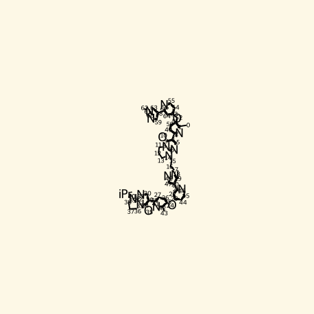 Cc1nc(-c2cnc3n(c2=O)CCCN3CCCn2cc(-c3cc(Oc4ccc(-c5cnc6n(c5=O)CCCN6C(C)C)nc4C)ccn3)cn2)ccc1Oc1ccnc(-c2cnn(C)c2)c1